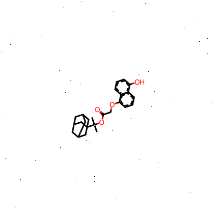 CC(C)(OC(=O)COc1cccc2c(O)cccc12)C12CC3CC(CC(C3)C1)C2